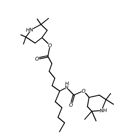 CCCCCC(CCCCC(=O)OC1CC(C)(C)NC(C)(C)C1)NC(=O)OC1CC(C)(C)NC(C)(C)C1